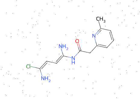 Cc1cccc(CC(=O)N/C(N)=C/C=C(\N)Cl)n1